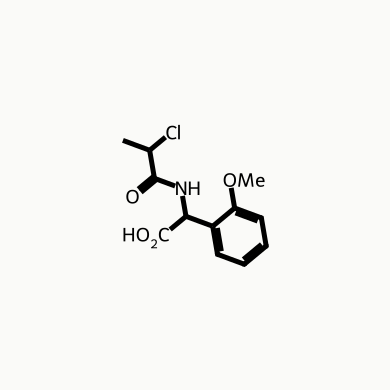 COc1ccccc1C(NC(=O)C(C)Cl)C(=O)O